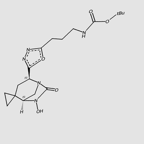 CC(C)(C)OC(=O)NCCCc1nnc([C@@H]2CC3(CC3)[C@H]3CN2C(=O)N3O)o1